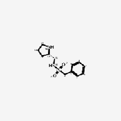 O=S(=O)(Cc1ccccc1)NC[C@@H]1CCCN1